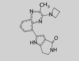 Cc1nc2cccc(-c3cc4c([nH]3)CCNC4=O)c2nc1N1CCC1